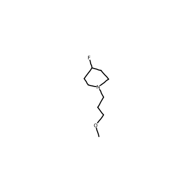 COCCCN1CCC(F)CC1